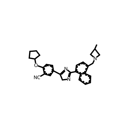 CC1CN(Cc2ccc(C3=NCC(c4ccc(OC5CCCC5)c(C#N)c4)=N3)c3ccccc23)C1